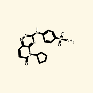 NS(=O)(=O)c1ccc(Nc2nnc3ccc(=O)n(C4CCCC4)c3n2)cc1